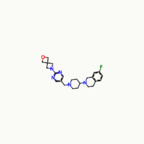 Fc1ccc2c(c1)CN(C1CCN(Cc3cnc(N4CC5(COC5)C4)nc3)CC1)CC2